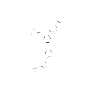 CN1CCC(Oc2cc(Oc3ccc(-c4nnc(C5CC5)o4)cc3)cc(C(=O)Nc3nccs3)c2)C1=O